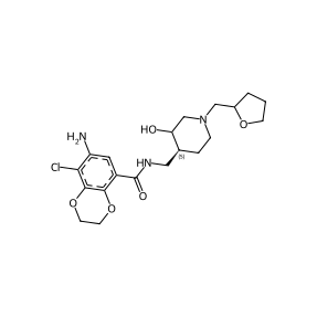 Nc1cc(C(=O)NC[C@@H]2CCN(CC3CCCO3)CC2O)c2c(c1Cl)OCCO2